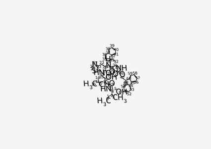 CC[C@H](C)[C@@H](CO)NC(=O)C[C@H](O)[C@H](CC(C)C)NC(=O)C(Cc1cscn1)NC(=O)[C@H](Cc1cccc2ccccc12)NC(=O)OCC1c2ccccc2-c2ccccc21